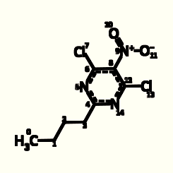 CCCCc1nc(Cl)c([N+](=O)[O-])c(Cl)n1